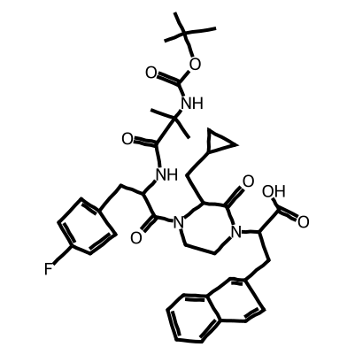 CC(C)(C)OC(=O)NC(C)(C)C(=O)NC(Cc1ccc(F)cc1)C(=O)N1CCN(C(Cc2ccc3ccccc3c2)C(=O)O)C(=O)C1CC1CC1